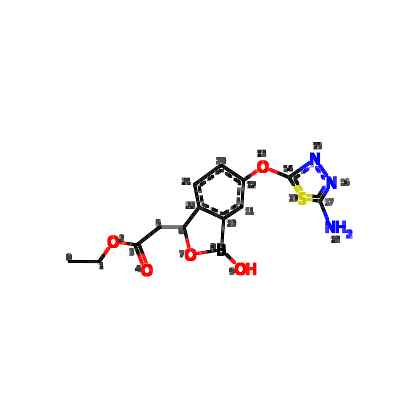 CCOC(=O)CC1OB(O)c2cc(Oc3nnc(N)s3)ccc21